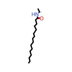 C[CH]NC(=O)CCCCCCCCCCCCCCC